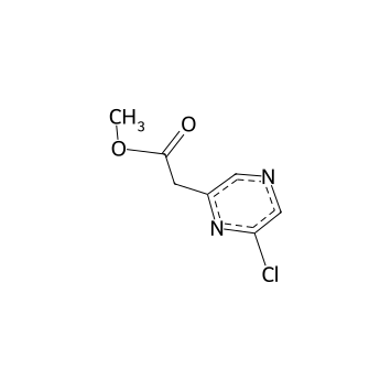 COC(=O)Cc1cncc(Cl)n1